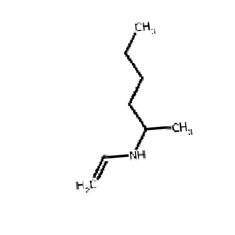 C=CNC(C)CCCC